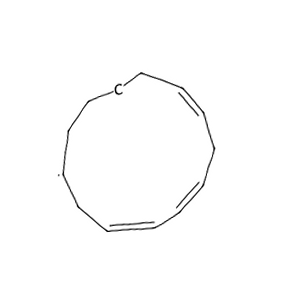 [CH]1CC=CC=CCC=CCCCC1